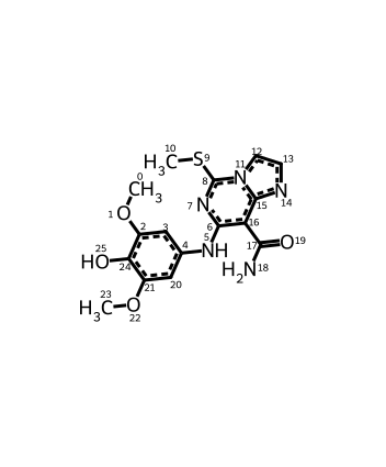 COc1cc(Nc2nc(SC)n3ccnc3c2C(N)=O)cc(OC)c1O